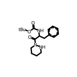 CC(C)(C)OC(=O)NC(Cc1ccccc1)C(=O)N1CCCCN1